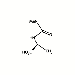 CNC(=O)N[C@@H](C)C(=O)O